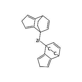 C1=C[C]2([Zr][C]34C=CC(CC3)C3=CCC=C34)CCC1C1=CCC=C12